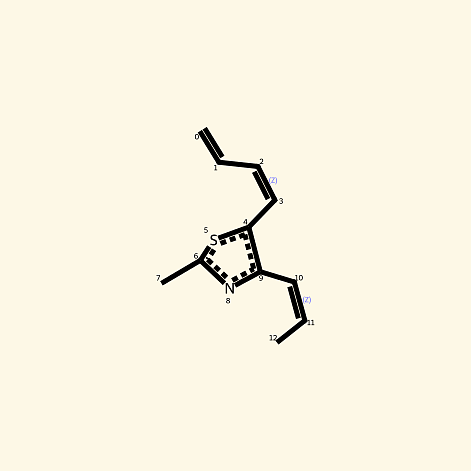 C=C/C=C\c1sc(C)nc1/C=C\C